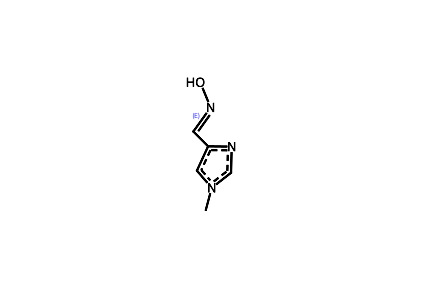 Cn1cnc(/C=N/O)c1